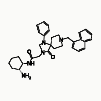 N[C@@H]1CCCC[C@H]1NC(=O)CN1CN(c2ccccc2)C2(CCN(Cc3cccc4ccccc34)CC2)C1=O